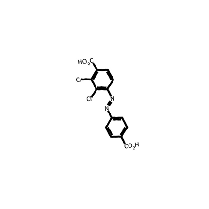 O=C(O)c1ccc(N=Nc2ccc(C(=O)O)c(Cl)c2Cl)cc1